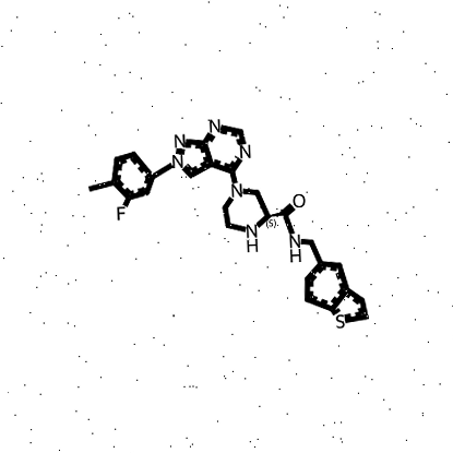 Cc1ccc(-n2cc3c(N4CCN[C@H](C(=O)NCc5ccc6sccc6c5)C4)ncnc3n2)cc1F